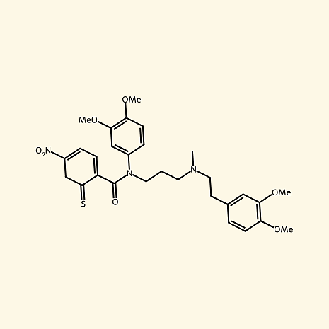 COc1ccc(CCN(C)CCCN(C(=O)C2=CC=C([N+](=O)[O-])CC2=S)c2ccc(OC)c(OC)c2)cc1OC